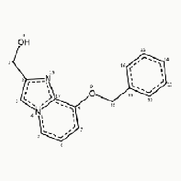 OCc1cn2cccc(OCc3ccccc3)c2n1